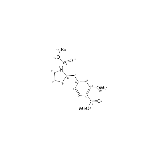 COC(=O)c1ccc(C[C@H]2CCCN2C(=O)OC(C)(C)C)cc1OC